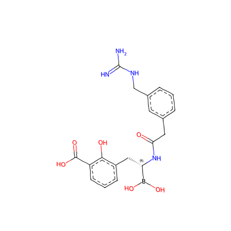 N=C(N)NCc1cccc(CC(=O)N[C@@H](Cc2cccc(C(=O)O)c2O)B(O)O)c1